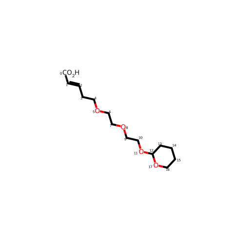 O=C(O)/C=C/CCOCCOCCOC1CCCCO1